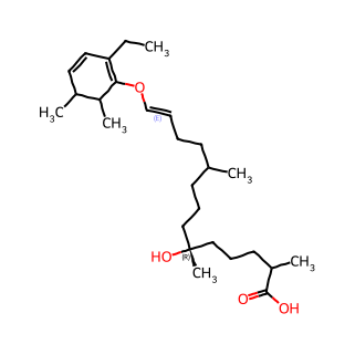 CCC1=C(O/C=C/CCC(C)CCC[C@@](C)(O)CCCC(C)C(=O)O)C(C)C(C)C=C1